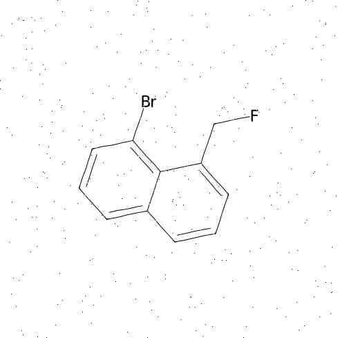 FCc1cccc2cccc(Br)c12